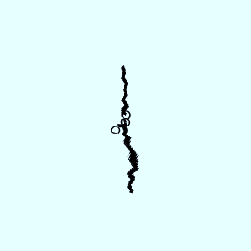 CCCCCCCC=COCOC(C=O)=CCCCCCCCCCCC